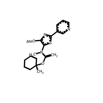 C=C(OC1(C)CCCCC1)N(C)c1sc(-c2cccnc2)nc1OC